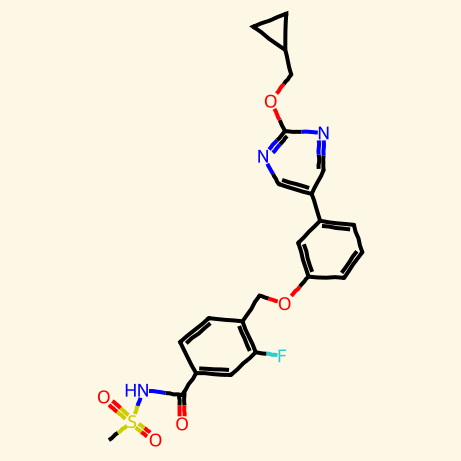 CS(=O)(=O)NC(=O)c1ccc(COc2cccc(-c3cnc(OCC4CC4)nc3)c2)c(F)c1